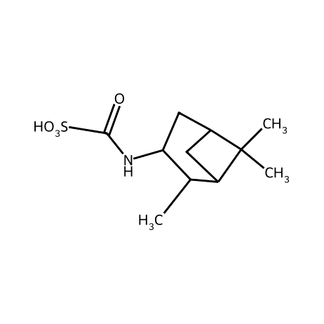 CC1C(NC(=O)S(=O)(=O)O)CC2CC1C2(C)C